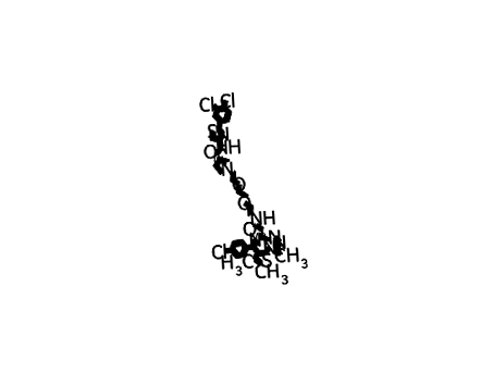 Cc1sc2c(c1C)C(c1ccc(Cl)cc1)=N[C@@H](CC(=O)NCCOCCOCCN1CC[C@H](C(=O)Nc3csc(-c4ccc(Cl)c(Cl)c4)n3)C1)c1nnc(C)n1-2